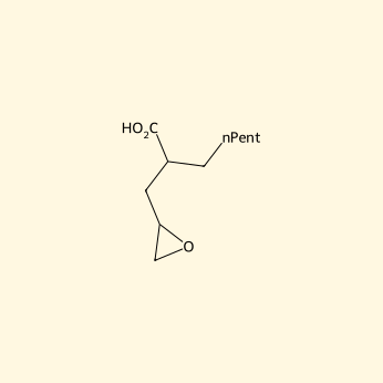 CCCCCCC(CC1CO1)C(=O)O